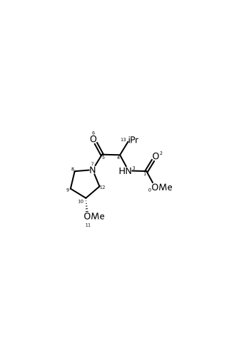 COC(=O)NC(C(=O)N1CC[C@@H](OC)C1)C(C)C